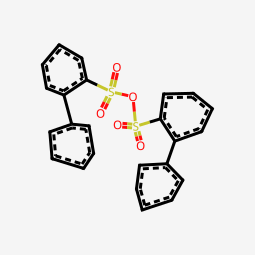 O=S(=O)(OS(=O)(=O)c1ccccc1-c1ccccc1)c1ccccc1-c1ccccc1